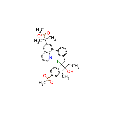 CCC(O)(CC)C(F)(Cc1cccc(-c2cc(C(C)(C)S(C)(=O)=O)cc3cccnc23)c1)c1ccc(S(C)(=O)=O)cc1